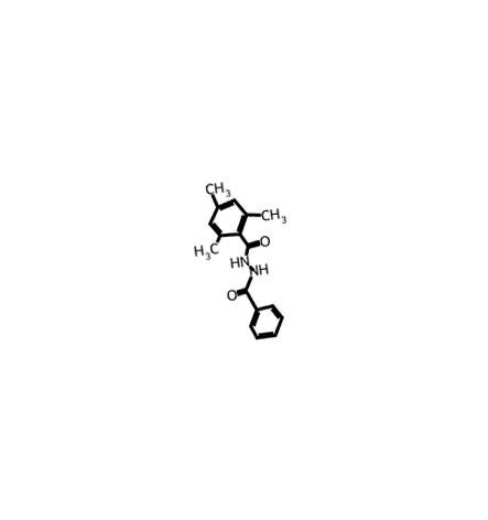 Cc1cc(C)c(C(=O)NNC(=O)c2ccccc2)c(C)c1